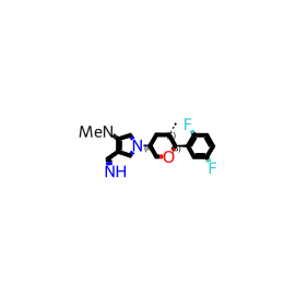 CNC1=C(C=N)CN([C@H]2CO[C@H](c3cc(F)ccc3F)[C@@H](C)C2)C1